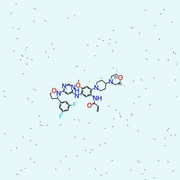 C=CC(=O)Nc1cc(Nc2cc(N3OCCC3c3cc(F)cc(F)c3)ncn2)c(OC)cc1N1CCC(N2C[C@@H](C)O[C@@H](C)C2)CC1